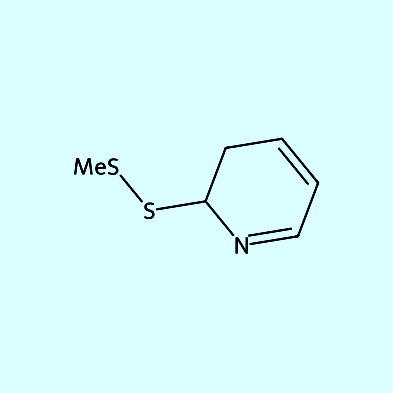 CSSC1CC=CC=N1